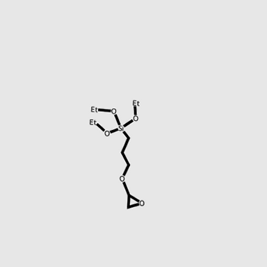 CCO[Si](CCCOC1CO1)(OCC)OCC